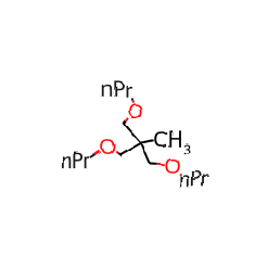 CCCOCC(C)(COCCC)COCCC